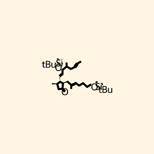 CC#CCC(C)[C@@H](/C=C/[C@H]1[C@H](C)CC(=O)[C@@H]1C/C(C)=C/CCCCO[Si](C)(C)C(C)(C)C)O[Si](C)(C)C(C)(C)C